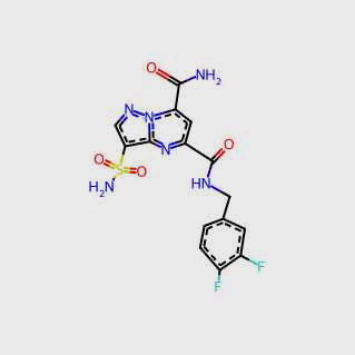 NC(=O)c1cc(C(=O)NCc2ccc(F)c(F)c2)nc2c(S(N)(=O)=O)cnn12